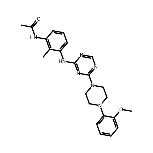 COc1ccccc1N1CCN(c2ncnc(Nc3cccc(NC(C)=O)c3C)n2)CC1